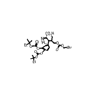 CCC(C)COC(=O)OCC(C)C(c1ccc(OC(=O)OC(C)(C)CC)c(OC(=O)OC(C)(C)CC)c1)[C@H](N)C(=O)O